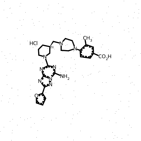 Cc1cc(C(=O)O)ccc1N1CCN(C[C@@H]2CCCN(c3nc(N)n4nc(-c5ccco5)nc4n3)C2)CC1.Cl